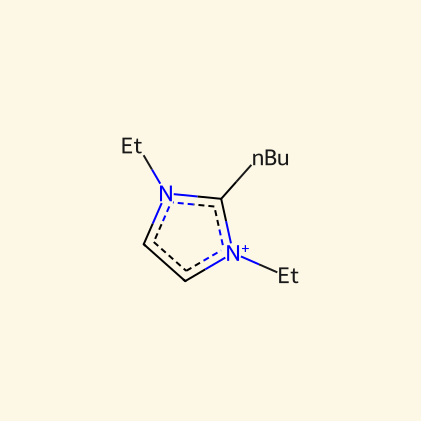 CCCCc1n(CC)cc[n+]1CC